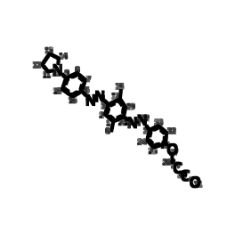 Cc1cc(/N=N/c2ccc(N3CCCC3)cc2)c(C)cc1/N=N/c1ccc(OC=C=C=O)cc1